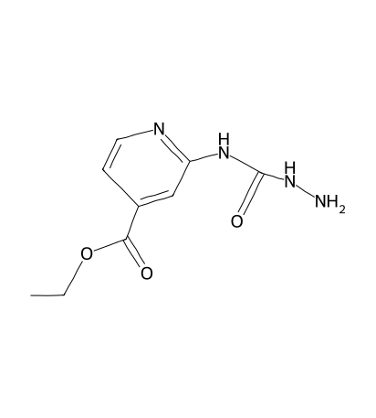 CCOC(=O)c1ccnc(NC(=O)NN)c1